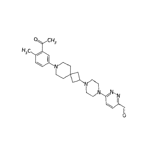 CC(=O)c1cc(N2CCC3(CC2)CC(N2CCN(c4ccc(C=O)nn4)CC2)C3)ccc1C